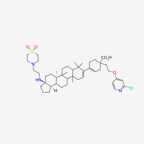 CC1(C)C(C2=CCC(CCOc3ccnc(Cl)c3)(C(=O)O)CC2)=CCC2(C)C1CCC1(C)C2CCC2[C@H]3CCC[C@]3(NCCN3CCS(=O)(=O)CC3)CC[C@]21C